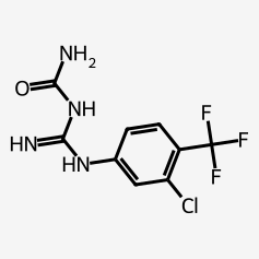 N=C(NC(N)=O)Nc1ccc(C(F)(F)F)c(Cl)c1